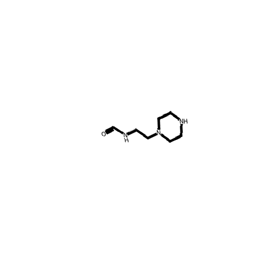 O=CNCCN1CCNCC1